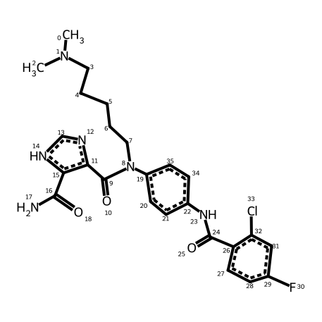 CN(C)CCCCCN(C(=O)c1nc[nH]c1C(N)=O)c1ccc(NC(=O)c2ccc(F)cc2Cl)cc1